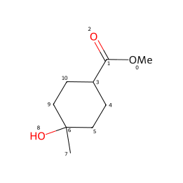 COC(=O)C1CCC(C)(O)CC1